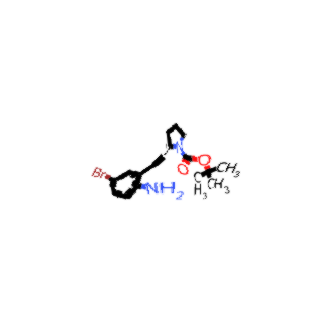 CC(C)(C)OC(=O)N1CCC[C@H]1C#Cc1cc(Br)ccc1N